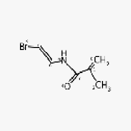 C=C(C)C(=O)N/C=C/Br